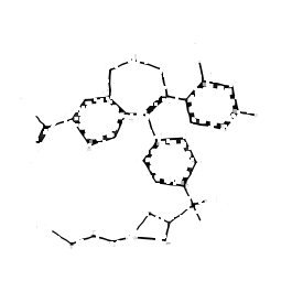 CC(O)(c1ccc(C2=C(c3ccc(Cl)cc3Cl)CCCc3cc(C(=O)O)ccc32)cc1)C1CN(CCCF)C1